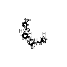 CN(C)[C@@H]1CCN(C(=O)Nc2cccc(Nc3ncc(Br)c(NCCc4c[nH]cn4)n3)c2)C1